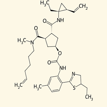 C=CCCCCN(C)C(=O)[C@@H]1C[C@H](OC(=O)Nc2cc(C)ccc2C2=NCC(CC)S2)C[C@H]1C(=O)N[C@]1(CC)C[C@H]1C=C